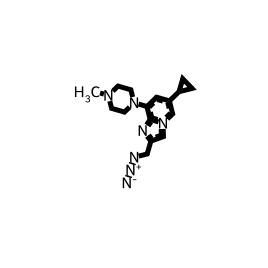 CN1CCN(c2cc(C3CC3)cn3cc(CN=[N+]=[N-])nc23)CC1